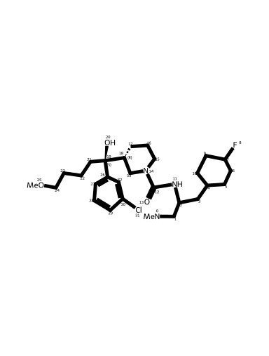 CNCC(CC1CCC(F)CC1)NC(=O)N1CCC[C@@H]([C@@](O)(CCCCOC)c2cccc(Cl)c2)C1